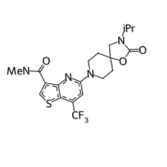 CNC(=O)c1csc2c(C(F)(F)F)cc(N3CCC4(CC3)CN(C(C)C)C(=O)O4)nc12